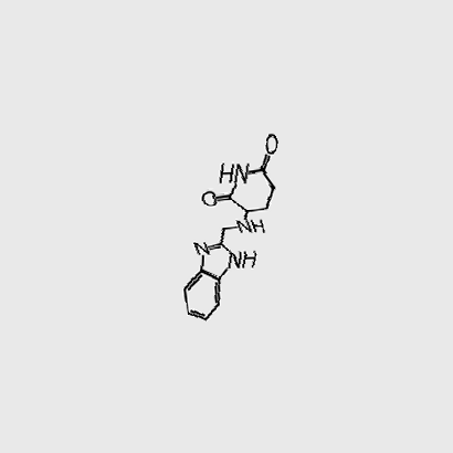 O=C1CCC(NCc2nc3ccccc3[nH]2)C(=O)N1